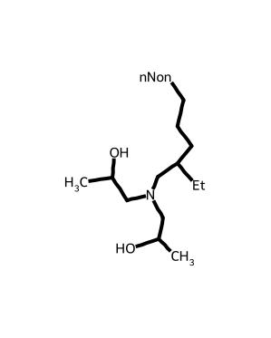 CCCCCCCCCCCCC(CC)CN(CC(C)O)CC(C)O